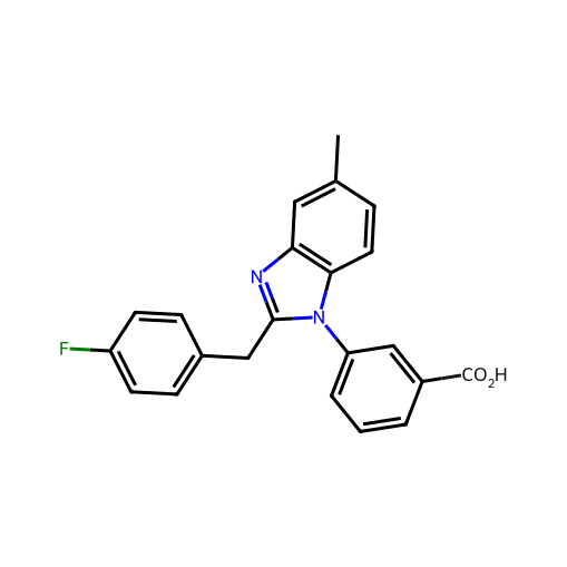 Cc1ccc2c(c1)nc(Cc1ccc(F)cc1)n2-c1cccc(C(=O)O)c1